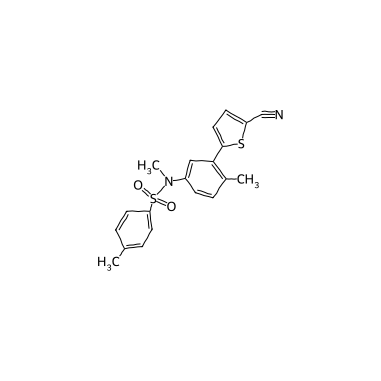 Cc1ccc(S(=O)(=O)N(C)c2ccc(C)c(-c3ccc(C#N)s3)c2)cc1